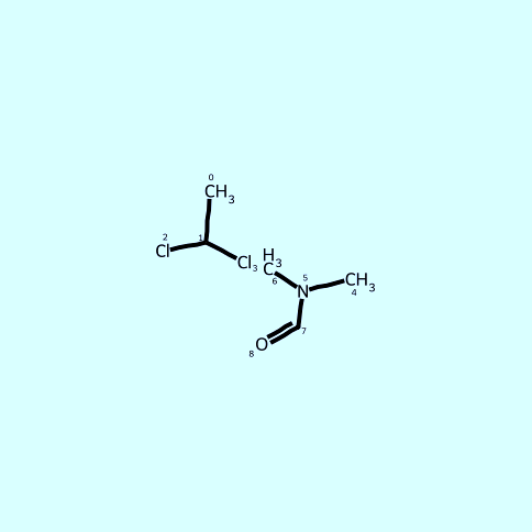 CC(Cl)Cl.CN(C)C=O